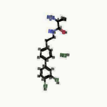 CC[C@H](N)C(=O)NCCc1ccc(-c2ccc(Cl)c(Cl)c2)cc1.Cl